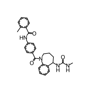 CNC(=O)NC1CCCN(C(=O)c2ccc(NC(=O)c3ccccc3C)cc2)c2ccccc21